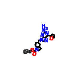 CC(C)(C)OC(=O)n1ccc2cc(Cn3cnc4c(-c5ccco5)nc(N)nc43)ccc21